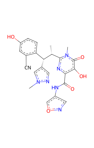 C[C@H](c1nc(C(=O)Nc2cnoc2)c(O)c(=O)n1C)[C@H](c1cnn(C)c1)c1ccc(O)cc1C#N